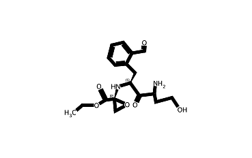 CCOC(=O)[C@@]1(N[C@@H](Cc2ccccc2C=O)C(=O)C(N)CCO)CO1